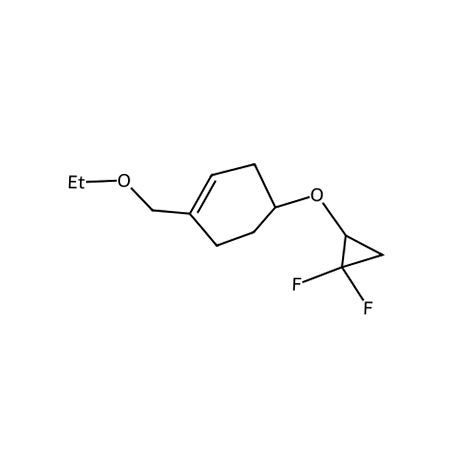 CCOCC1=CCC(OC2CC2(F)F)CC1